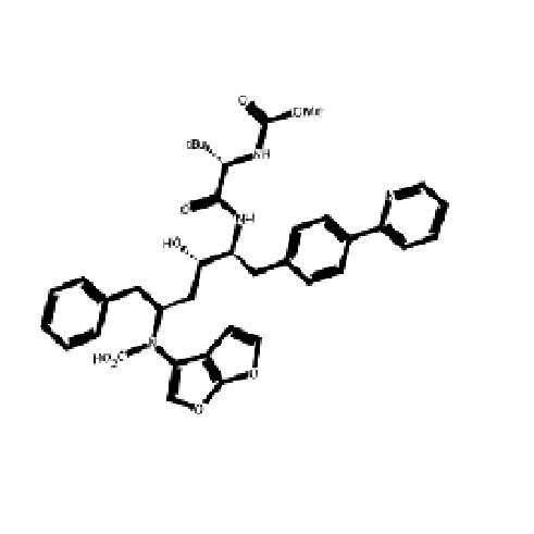 COC(=O)N[C@H](C(=O)N[C@@H](Cc1ccc(-c2ccccn2)cc1)[C@@H](O)C[C@H](Cc1ccccc1)N(C(=O)O)c1coc2occc12)C(C)(C)C